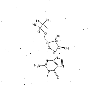 CCC(C)(O)P(=O)(O)OC[C@H]1O[C@@H](n2cnc3c(=O)n(C)c(N)nc32)[C@H](O)[C@@H]1O